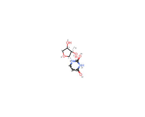 C[C@@]1(O)C(O)CO[C@H]1n1ccc(=O)[nH]c1=O